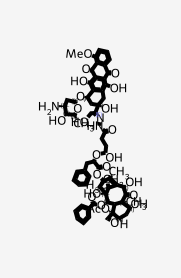 COc1cccc2c1C(=O)c1c(O)c3c(c(O)c1C2=O)C[C@](O)(/C(CO)=N/NC(=O)CCC(O)OC(Cc1ccccc1)C(=O)OC1C[C@@]2(O)[C@H](OC(=O)c4ccccc4)C4[C@]5(OC(C)=O)CO[C@@H]5C[C@@H](O)[C@]4(C)C(=O)[C@H](O)C(=C1C)C2(C)C)C[C@H]3O[C@H]1C[C@H](N)[C@H](O)[C@H](C)O1